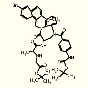 COc1ccc2cc(Br)ccc2c1CN1C(=O)[C@@H](NC(=O)[C@H](C)NCC(=O)OC(C)(C)C)CN(C(=O)c2ccc(NC(=O)OC(C)(C)C)cc2)c2ccccc21